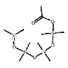 CC(=O)O[Si](C)(C)O[Si](C)(C)O[Si](C)(C)O[SiH](C)C